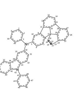 c1ccc(N(c2ccc3c(c2)-c2cccc4c2C32c3ccccc3-c3cccc-4c32)c2ccc3c(c2)c2ccccc2n3-c2ccccc2)cc1